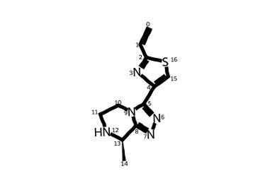 C=Cc1nc(-c2nnc3n2CCN[C@@H]3C)cs1